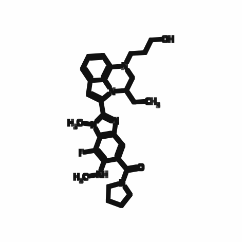 CCC1CN(CCCO)c2cccc3cc(-c4nc5cc(C(=O)N6CCCC6)c(NC)c(F)c5n4C)n1c23